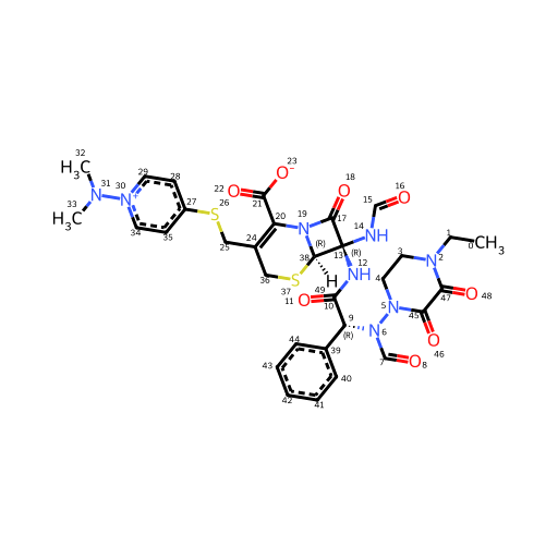 CCN1CCN(N(C=O)[C@@H](C(=O)N[C@]2(NC=O)C(=O)N3C(C(=O)[O-])=C(CSc4cc[n+](N(C)C)cc4)CS[C@@H]32)c2ccccc2)C(=O)C1=O